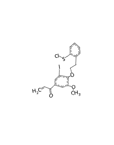 C=CC(=O)c1cc(I)c(OCCc2ccccc2SCl)c(OC)c1